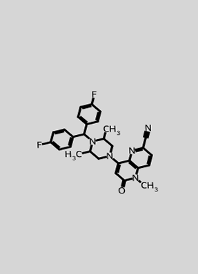 CC1CN(c2cc(=O)n(C)c3ccc(C#N)nc23)CC(C)N1C(c1ccc(F)cc1)c1ccc(F)cc1